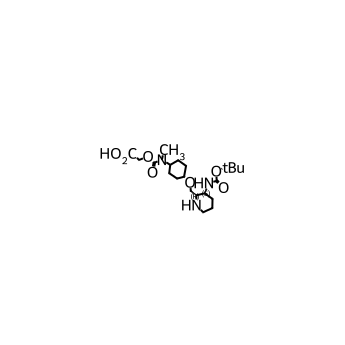 CN(C(=O)OCC(=O)O)C1CCC(OC[C@@H]2NCCC[C@@H]2NC(=O)OC(C)(C)C)CC1